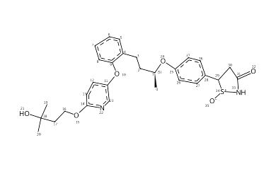 C[C@@H](CCc1ccccc1Oc1ccc(OCCC(C)(C)O)nc1)Oc1ccc(C2CC(=O)N[S+]2[O-])cc1